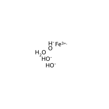 O.[Fe+3].[OH-].[OH-].[OH-]